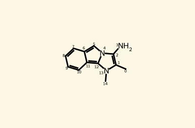 Cc1c(N)n2cc3ccccc3c2n1C